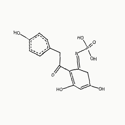 O=C(Cc1ccc(O)cc1)C1=C(O)C=C(O)CC1=NP(=O)(O)O